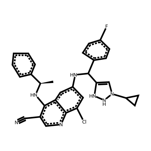 C[C@@H](Nc1c(C#N)cnc2c(Cl)cc(NC(C3=CN(C4CC4)NN3)c3ccc(F)cc3)cc12)c1ccccc1